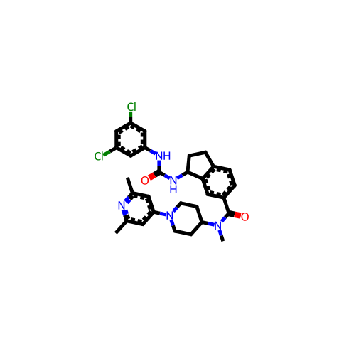 Cc1cc(N2CCC(N(C)C(=O)c3ccc4c(c3)C(NC(=O)Nc3cc(Cl)cc(Cl)c3)CC4)CC2)cc(C)n1